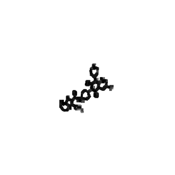 CC1=C(C(=O)NC2CCC(n3c(=O)c4cc(F)cnc4n(C4CCSCC4)c3=O)CC2)SC2=NCCCN21